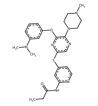 CCC(=O)Nc1cc(Sc2cnc(N3CCN(C)CC3)c(Oc3cccc(N(C)C)c3)n2)ccn1